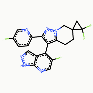 Fc1ccc(-c2nn3c(c2-c2c(F)cnc4[nH]ncc24)CCC2(C3)CC2(F)F)nc1